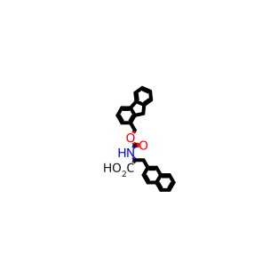 O=C(NC(Cc1ccc2ccccc2c1)C(=O)O)OCc1cccc2c1Cc1ccccc1-2